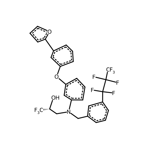 O[C@H](CN(Cc1cccc(C(F)(F)C(F)(F)C(F)(F)F)c1)c1cccc(Oc2cccc(-c3ccco3)c2)c1)C(F)(F)F